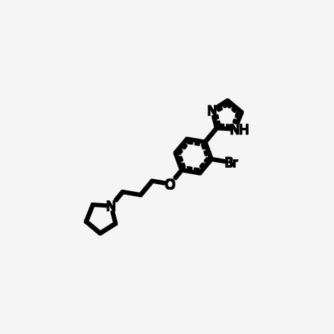 Brc1cc(OCCCN2CCCC2)ccc1-c1ncc[nH]1